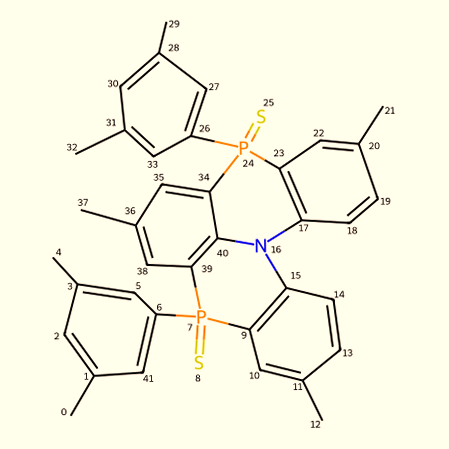 Cc1cc(C)cc(P2(=S)c3cc(C)ccc3N3c4ccc(C)cc4P(=S)(c4cc(C)cc(C)c4)c4cc(C)cc2c43)c1